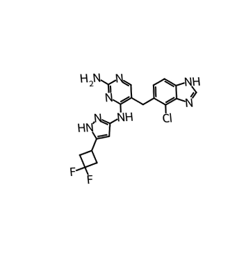 Nc1ncc(Cc2ccc3[nH]cnc3c2Cl)c(Nc2cc(C3CC(F)(F)C3)[nH]n2)n1